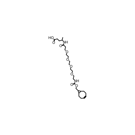 CC(CCC(=O)O)NC(=O)CCOCCOCCOCCOCCNC(=O)OCC1C2CCC#CCCC21